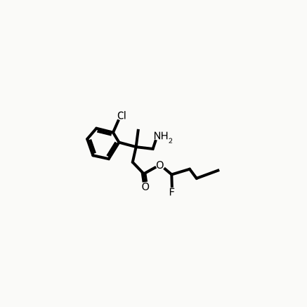 CCCC(F)OC(=O)CC(C)(CN)c1ccccc1Cl